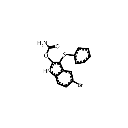 NC(=O)Oc1[nH]c2ccc(Br)cc2c1Sc1ccccc1